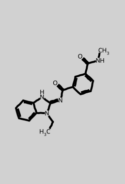 CCn1/c(=N/C(=O)c2cccc(C(=O)NC)c2)[nH]c2ccccc21